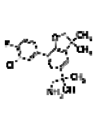 CC1(C)COc2c1cc(C(C)(O)CN)nc2-c1ccc(F)c(Cl)c1